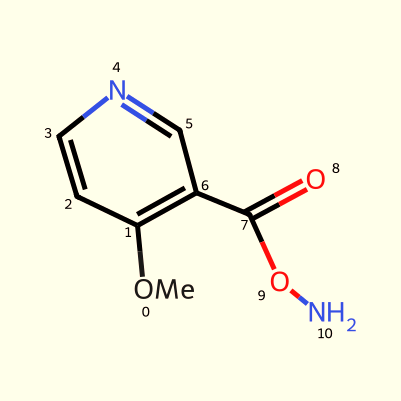 COc1ccncc1C(=O)ON